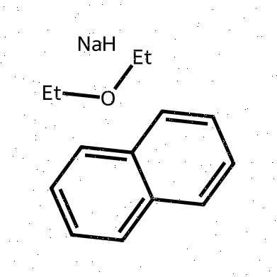 CCOCC.[NaH].c1ccc2ccccc2c1